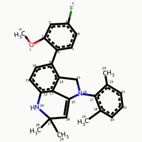 COc1cc(F)ccc1-c1ccc2c3c1CN(c1c(C)cccc1C)C3=CC(C)(C)N2